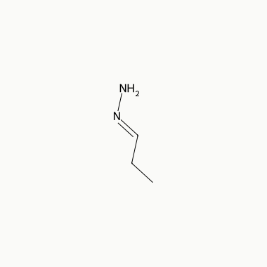 CCC=NN